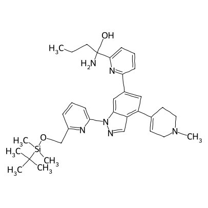 CCCC(N)(O)c1cccc(-c2cc(C3=CCN(C)CC3)c3cnn(-c4cccc(CO[Si](C)(C)C(C)(C)C)n4)c3c2)n1